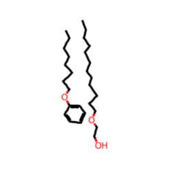 CCCCCCCCCCCCOCCO.CCCCCCCCOc1ccccc1